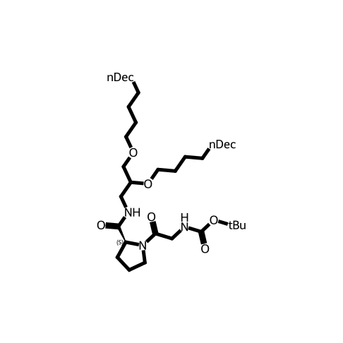 CCCCCCCCCCCCCCOCC(CNC(=O)[C@@H]1CCCN1C(=O)CNC(=O)OC(C)(C)C)OCCCCCCCCCCCCCC